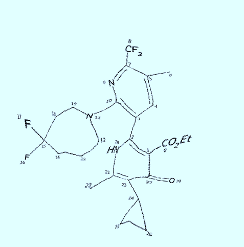 CCOC(=O)c1c(-c2cc(C)c(C(F)(F)F)nc2N2CCCC(F)(F)CC2)[nH]c(C)c(C2CC2)c1=O